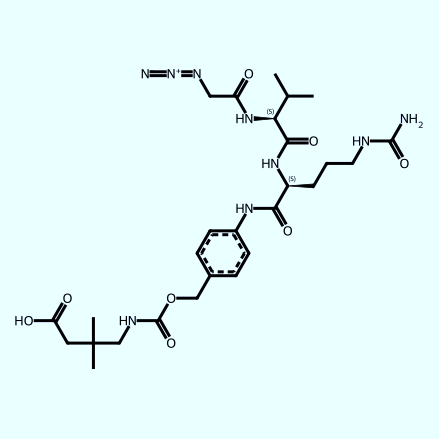 CC(C)[C@H](NC(=O)CN=[N+]=[N-])C(=O)N[C@@H](CCCNC(N)=O)C(=O)Nc1ccc(COC(=O)NCC(C)(C)CC(=O)O)cc1